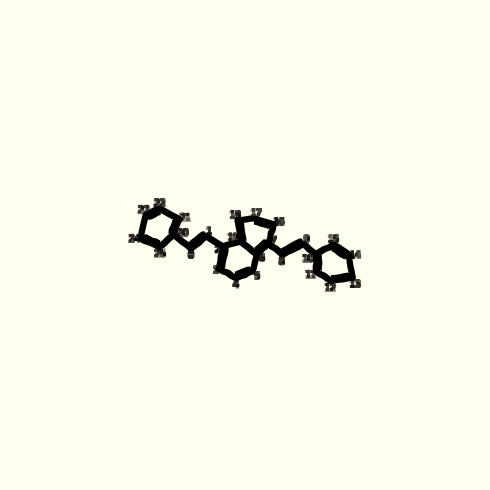 C(=Cc1cccc2c(C=Cc3ccccc3)cccc12)c1ccccc1